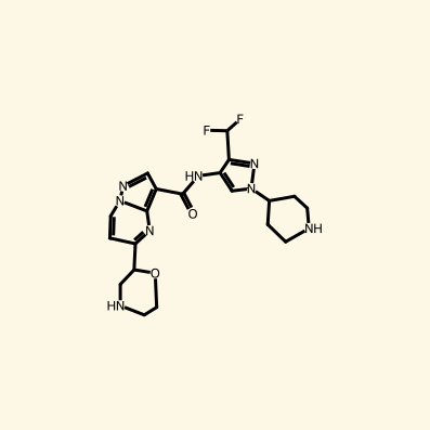 O=C(Nc1cn(C2CCNCC2)nc1C(F)F)c1cnn2ccc(C3CNCCO3)nc12